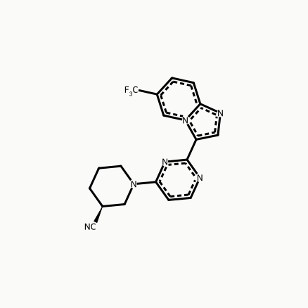 N#C[C@H]1CCCN(c2ccnc(-c3cnc4ccc(C(F)(F)F)cn34)n2)C1